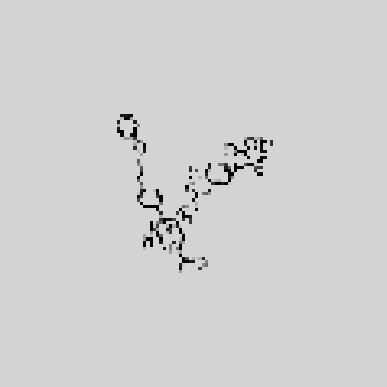 COc1ccccc1CC(=O)OCC1=C(c2ccc(CCCOc3ccccc3)cc2)C[C@@H]2CN(C(C)=O)C[C@H]1N2.O=C(O)C(F)(F)F